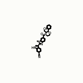 Cn1c(-c2c[nH]c3cc(C#N)ccc23)nc2ccc(C(=O)N3CCOC(c4ccccc4)C3CO)cc21